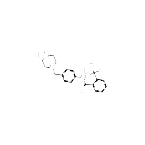 O=C(Nc1ccc(CN2CCNCC2)cc1)c1ccccc1C(F)(F)F